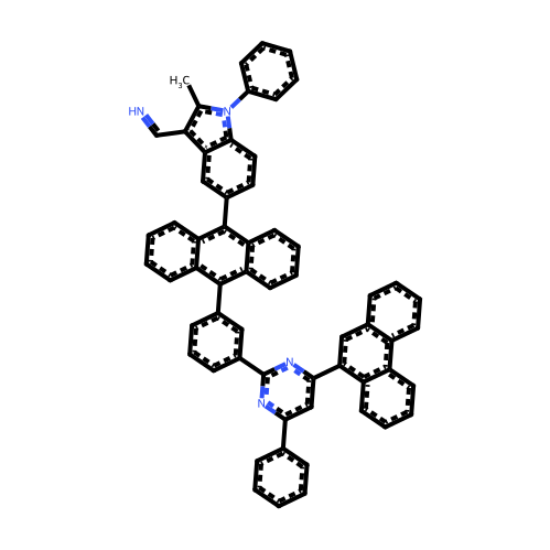 Cc1c(C=N)c2cc(-c3c4ccccc4c(-c4cccc(-c5nc(-c6ccccc6)cc(-c6cc7ccccc7c7ccccc67)n5)c4)c4ccccc34)ccc2n1-c1ccccc1